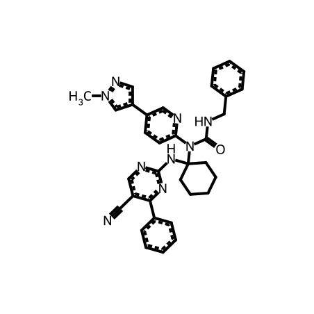 Cn1cc(-c2ccc(N(C(=O)NCc3ccccc3)C3(Nc4ncc(C#N)c(-c5ccccc5)n4)CCCCC3)nc2)cn1